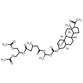 CC(=O)OCC(COC(C)=O)OC(=O)CC(C)CC(=O)OC(C)OC(=O)O[C@H]1CC[C@@]2(C)[C@@H](CC[C@@H]3[C@@H]2CC[C@]2(C)[C@@H](C(C)=O)CC[C@@H]32)C1